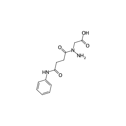 NN(CC(=O)O)C(=O)CCC(=O)Nc1ccccc1